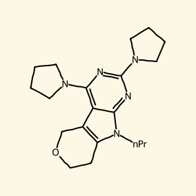 CCCn1c2c(c3c(N4CCCC4)nc(N4CCCC4)nc31)COCC2